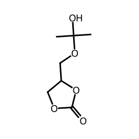 CC(C)(O)OCC1COC(=O)O1